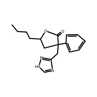 CCCCC1CC(Cc2nc[nH]n2)(c2ccccc2)C(=O)O1